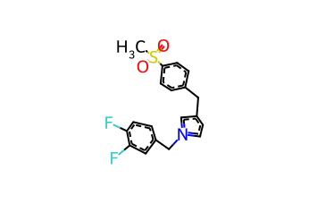 CS(=O)(=O)c1ccc(Cc2ccn(Cc3ccc(F)c(F)c3)c2)cc1